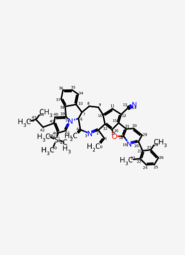 C=C/C1=N/C(=C)C2C(CCc3cc(C#N)c4c(oc5nc(-c6c(C)cccc6C)ccc54)c31)c1ccccc1-c1cc(CC(C)C)c([Si](C)(C)C)c[n+]12